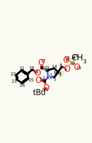 CC(C)(C)OC(=O)N1C[C@@](F)(COS(C)(=O)=O)C[C@H]1C(=O)OCc1ccccc1